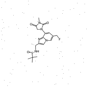 C[C@@H](N[S@+]([O-])C(C)(C)C)c1cn2cc(CF)cc(N3CC(=O)N(C)C3=O)c2n1